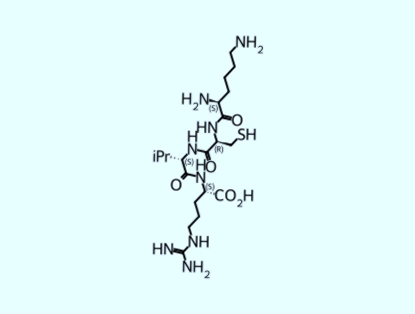 CC(C)[C@H](NC(=O)[C@H](CS)NC(=O)[C@@H](N)CCCCN)C(=O)N[C@@H](CCCNC(=N)N)C(=O)O